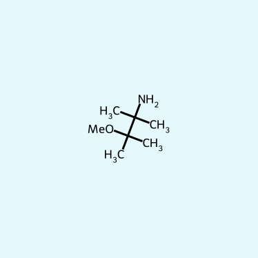 COC(C)(C)C(C)(C)N